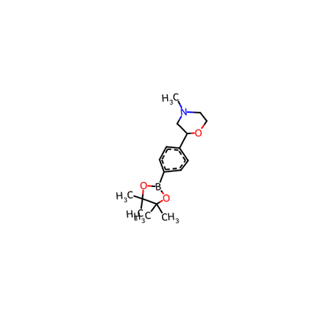 CN1CCOC(c2ccc(B3OC(C)(C)C(C)(C)O3)cc2)C1